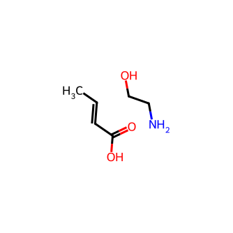 CC=CC(=O)O.NCCO